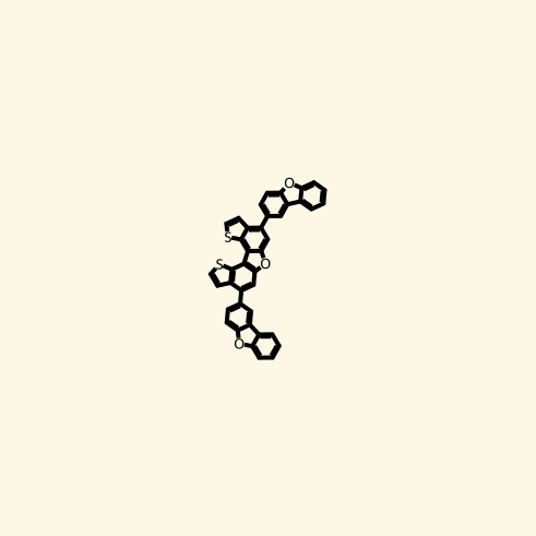 c1ccc2c(c1)oc1ccc(-c3cc4oc5cc(-c6ccc7oc8ccccc8c7c6)c6ccsc6c5c4c4sccc34)cc12